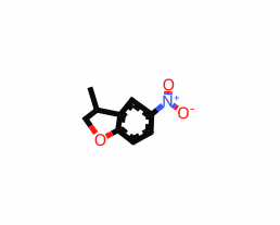 CC1COc2ccc([N+](=O)[O-])cc21